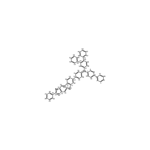 c1ccc(-c2ccc(N(c3ccc(-c4ccc5c(c4)oc4cc6oc(-c7ccccc7)nc6cc45)cc3)c3ccc(-c4ccccc4)c(-c4ccccc4)c3)cc2)cc1